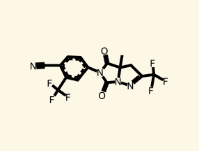 CC12CC(C(F)(F)F)=NN1C(=O)N(c1ccc(C#N)c(C(F)(F)F)c1)C2=O